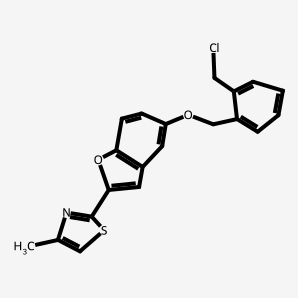 Cc1csc(-c2cc3cc(OCc4ccccc4CCl)ccc3o2)n1